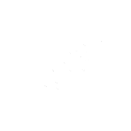 CC1(c2ccc(O)cn2)C(=O)Nc2nc(C3=CN4NCN=C4C(CCCC(F)(F)F)=N3)nc(N)c21